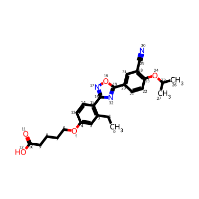 CCc1cc(OCCCCC(=O)O)ccc1-c1noc(-c2ccc(OC(C)C)c(C#N)c2)n1